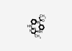 C=CC(=O)Nc1cccc(Nc2nc(Nc3cc#ccc3)ncc2C)c1